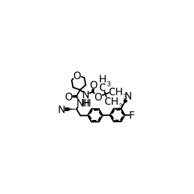 CC(C)(C)OC(=O)NC1(C(=O)N[C@H](C#N)Cc2ccc(-c3ccc(F)c(C#N)c3)cc2)CCOCC1